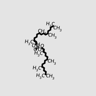 C/C(=C\C(=O)O[PH](=O)OC(=O)/C=C(\C)CCC[C@H](C)CCC[C@H](C)CCCC(C)C)CCC[C@H](C)CCC[C@H](C)CCCC(C)C